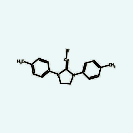 Cc1ccc(N2CCN(c3ccc(C)cc3)[C]2=[Cu][Br])cc1